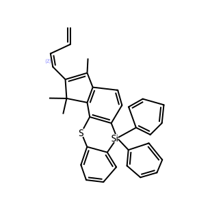 C=C/C=C\C1=C(C)c2ccc3c(c2C1(C)C)Sc1ccccc1[Si]3(c1ccccc1)c1ccccc1